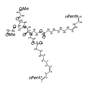 CCCCC/C=C\C/C=C\CCCCCCCC(=O)OCCN(CCOC(=O)CCCCCCC/C=C\C/C=C\CCCCC)C(=O)CN1C[C@H](OCCOC)[C@@H](OCCOC)C1